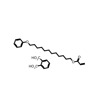 C=CC(=O)OCCCCCCCCCCCCOc1ccccc1.O=C(O)c1ccccc1C(=O)O